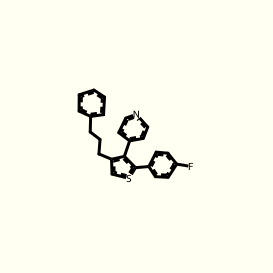 Fc1ccc(-c2scc(CCCc3ccccc3)c2-c2ccncc2)cc1